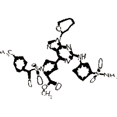 COC(=O)c1cc(-c2nc(Nc3cccc(S(N)(=O)=O)c3)nc3c2ncn3C2CCCCO2)cn1S(=O)(=O)C(=O)c1ccc(C)cc1